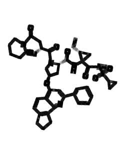 C=C[C@@H]1CC1(NC(=O)[C@@H]1C[C@@H](Oc2cc(-c3ccccc3)nc3c4c(ccc23)CCC4)CN1C(=O)[C@@H](CC(=O)N1CCCCC1)C(C)(C)C)C(=O)NS(=O)(=O)C1CC1